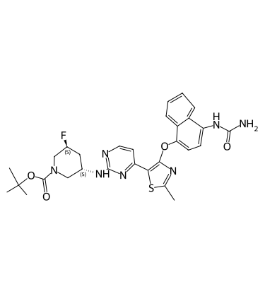 Cc1nc(Oc2ccc(NC(N)=O)c3ccccc23)c(-c2ccnc(N[C@H]3C[C@H](F)CN(C(=O)OC(C)(C)C)C3)n2)s1